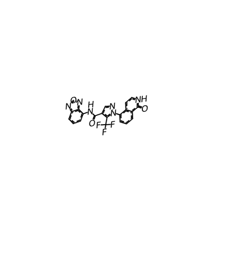 O=C(Nc1cccc2nonc12)c1cnn(-c2cccc3c(=O)[nH]ccc23)c1C(F)(F)F